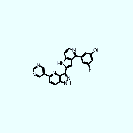 Oc1cc(F)cc(-c2nccc3[nH]c(-c4n[nH]c5ccc(-c6cncnc6)nc45)cc23)c1